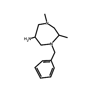 CC1CN(C)CC(N)CN1Cc1ccccc1